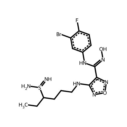 CCC(CCCNc1nonc1/C(=N/O)Nc1ccc(F)c(Br)c1)S(=N)N